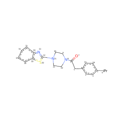 CC(C)c1ccc(CC(=O)N2CCN(c3nc4ccccc4s3)CC2)cc1